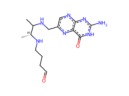 CC(NCc1cnc2nc(N)[nH]c(=O)c2n1)[C@@H](C)NCCCC=O